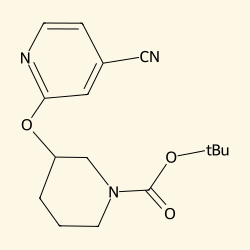 CC(C)(C)OC(=O)N1CCCC(Oc2cc(C#N)ccn2)C1